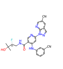 CC(C)(O)[C@H](F)CNC(=O)c1cnc(-n2ncc3cc(C#N)cnc32)cc1Nc1cccc(C#N)c1